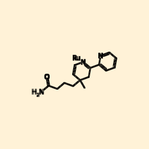 CC1(CCCC(N)=O)C=CN=C(c2ccccn2)C1.[Ru]